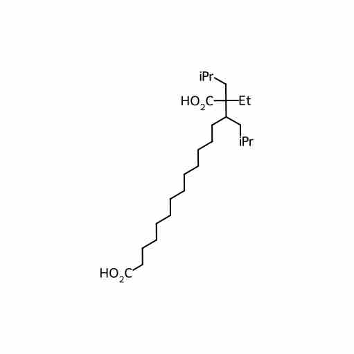 CCC(CC(C)C)(C(=O)O)C(CCCCCCCCCCCCC(=O)O)CC(C)C